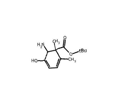 CC1=CC=C(O)C(N)C1(C)C(=O)OC(C)(C)C